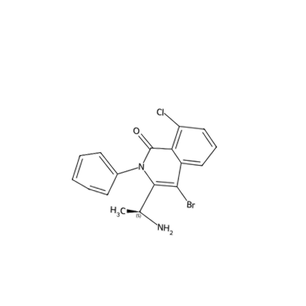 C[C@H](N)c1c(Br)c2cccc(Cl)c2c(=O)n1-c1ccccc1